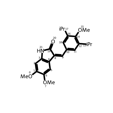 COc1cc2c(cc1OC)C(=Cc1cc(C(C)C)c(OC)c(C(C)C)c1)C(=O)N2